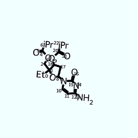 CCC1(COC(=O)C(C)C)OC(n2ccc(N)nc2=O)CC1OC(=O)C(C)C